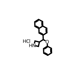 Cl.c1ccc(OC(c2ccc3ccccc3c2)C2CNC2)cc1